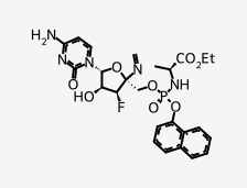 C=N[C@]1(COP(=O)(N[C@@H](C)C(=O)OCC)Oc2cccc3ccccc23)O[C@@H](n2ccc(N)nc2=O)[C@H](O)[C@@H]1F